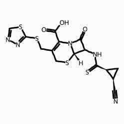 N#C[C@@H]1C[C@@H]1C(=S)NC1C(=O)N2C(C(=O)O)=C(CSc3nncs3)CS[C@@H]12